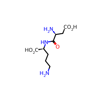 NCCC[C@H](NC(=O)[C@@H](N)CC(=O)O)C(=O)O